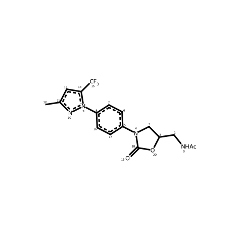 CC(=O)NCC1CN(c2ccc(-n3nc(C)cc3C(F)(F)F)cc2)C(=O)O1